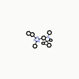 c1ccc(-c2nc(-c3ccc4c(c3)C3(c5ccccc5-c5ccccc53)c3ccccc3N4c3ccccc3)nc(-c3ccc4ccccc4c3)n2)cc1